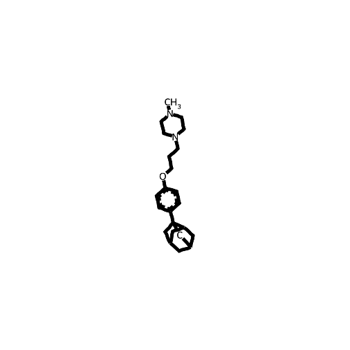 CN1CCN(CCCOc2ccc(C34CC5CC(CC3C5)C4)cc2)CC1